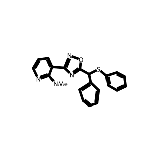 CNc1ncccc1-c1noc(C(Sc2ccccc2)c2ccccc2)n1